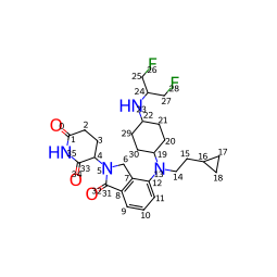 O=C1CCC(N2Cc3c(cccc3N(CCC3CC3)C3CCC(NC(CF)CF)CC3)C2=O)C(=O)N1